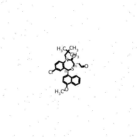 COc1ccc([C@@H]2S[C@@H](C[C]=O)C(=O)N(CC(C)(C)C)c3ccc(Cl)cc32)c2ccccc12